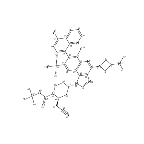 CN(C)C1CN(c2nc3c(F)c(-c4ccc(F)c5cccnc45)c(C(F)(F)F)cc3c3c2ncn3[C@H]2CCN(C(=O)OC(C)(C)C)[C@H](CC#N)C2)C1